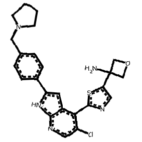 NC1(c2cnc(-c3c(Cl)cnc4[nH]c(-c5ccc(CN6CCCC6)cc5)cc34)s2)COC1